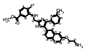 COC(=O)c1ccc(F)c(NCc2nc(-c3cccc(C)n3)c(-c3ccc4ncc(OCCN)cc4c3)[nH]2)c1